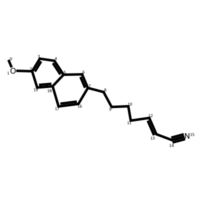 COc1ccc2cc(CCCCC=CC#N)ccc2c1